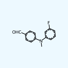 CN(c1ccc(C=O)cc1)c1cccc(F)c1